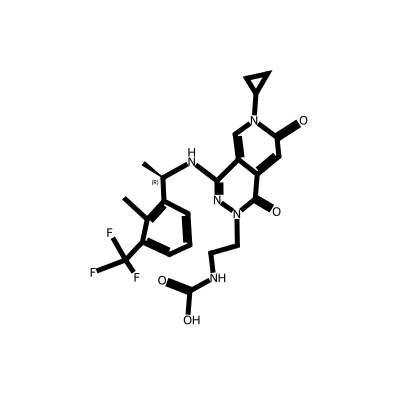 Cc1c([C@@H](C)Nc2nn(CCNC(=O)O)c(=O)c3cc(=O)n(C4CC4)cc23)cccc1C(F)(F)F